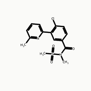 Cc1cccc(-c2cc(C(=O)N(C)S(C)(=O)=O)ccc2Cl)n1